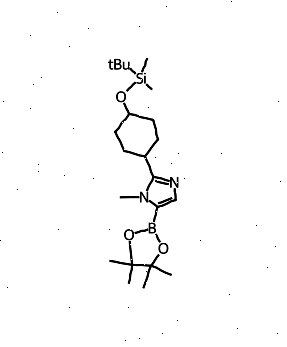 Cn1c(B2OC(C)(C)C(C)(C)O2)cnc1C1CCC(O[Si](C)(C)C(C)(C)C)CC1